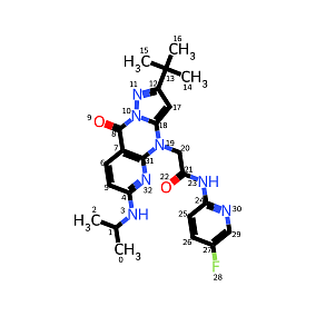 CC(C)Nc1ccc2c(=O)n3nc(C(C)(C)C)cc3n(CC(=O)Nc3ccc(F)cn3)c2n1